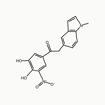 Cn1ccc2cc(CC(=O)c3cc(O)c(O)c([N+](=O)[O-])c3)ccc21